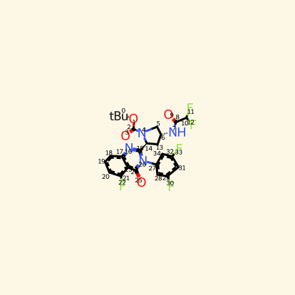 CC(C)(C)OC(=O)N1C[C@H](NC(=O)C(F)F)C[C@H]1c1nc2cccc(F)c2c(=O)n1-c1cc(F)cc(F)c1